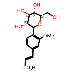 COc1cc(C=CC(=O)O)ccc1C1O[C@H](CO)[C@@H](O)[C@H](O)[C@H]1O